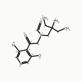 CCC(P)(CC)CN(C=O)CC(=O)c1c(Cl)cncc1Cl